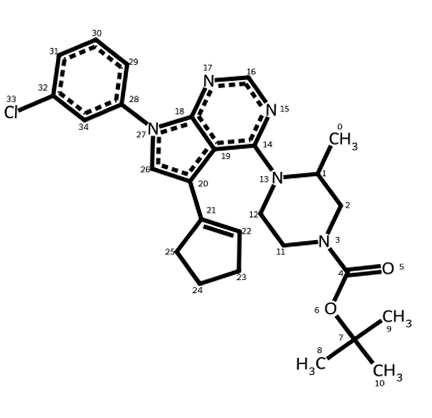 CC1CN(C(=O)OC(C)(C)C)CCN1c1ncnc2c1c(C1=CCCC1)cn2-c1cccc(Cl)c1